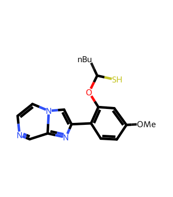 CCCCC(S)Oc1cc(OC)ccc1-c1cn2ccncc2n1